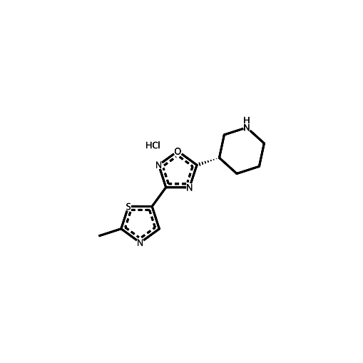 Cc1ncc(-c2noc([C@H]3CCCNC3)n2)s1.Cl